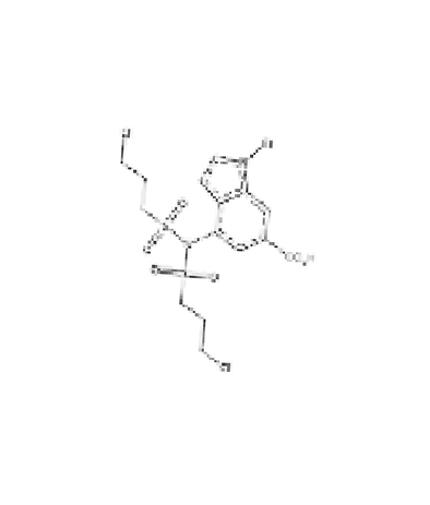 CCn1ccc2c(N(S(=O)(=O)CCCCl)S(=O)(=O)CCCCl)cc(C(=O)O)cc21